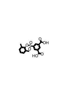 Cc1cccc(C)c1OS(=O)(=O)c1cc(C(=O)O)cc(C(=O)O)c1